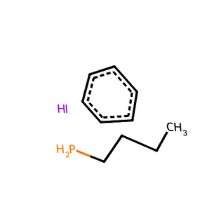 CCCCP.I.c1ccccc1